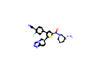 N#Cc1ccc(-c2cc(C(=O)N3CCC[C@@H](N)C3)sc2-c2ccc3nncn3c2)cc1F